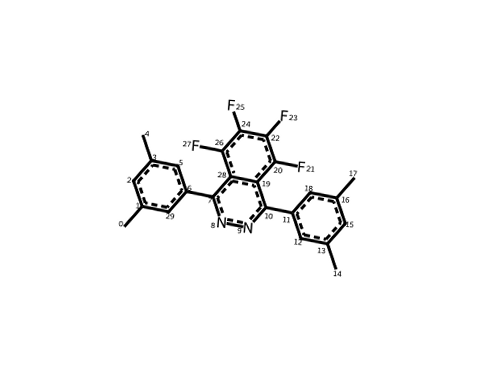 Cc1cc(C)cc(-c2nnc(-c3cc(C)cc(C)c3)c3c(F)c(F)c(F)c(F)c23)c1